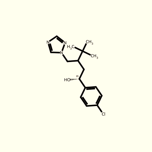 CC(C)(C)C(C[C@@H](O)c1ccc(Cl)cc1)Cn1cncn1